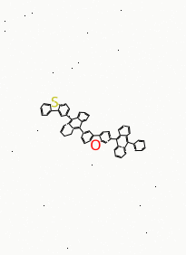 C1=Cc2c(c(-c3ccc4oc5cc(-c6c7ccccc7c(-c7ccccc7)c7ccccc67)ccc5c4c3)c3ccccc3c2-c2ccc3sc4ccccc4c3c2)CC1